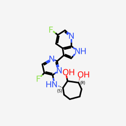 OC1[C@H](O)CCCC[C@@H]1Nc1nc(-c2c[nH]c3ncc(F)cc23)ncc1F